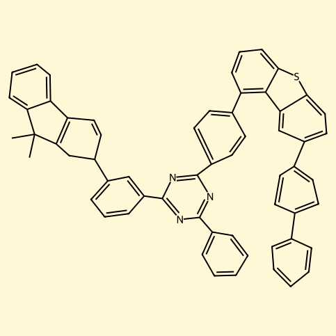 CC1(C)C2=C(C=CC(c3cccc(-c4nc(-c5ccccc5)nc(-c5ccc(-c6cccc7sc8ccc(-c9ccc(-c%10ccccc%10)cc9)cc8c67)cc5)n4)c3)C2)c2ccccc21